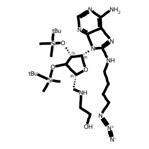 CC(C)(C)[Si](C)(C)OC1[C@@H](CNCCO)O[C@@H](n2c(NCCCCN=[N+]=[N-])nc3c(N)ncnc32)[C@H]1O[Si](C)(C)C(C)(C)C